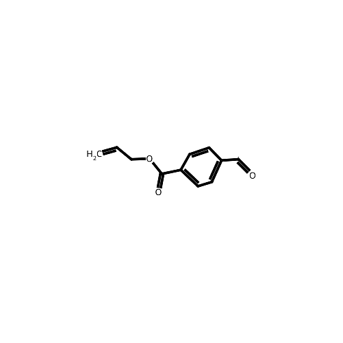 C=CCOC(=O)c1ccc([C]=O)cc1